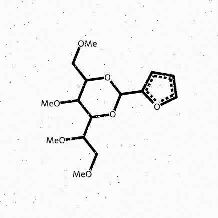 COCC1OC(c2ccco2)OC(C(COC)OC)C1OC